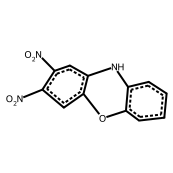 O=[N+]([O-])c1cc2c(cc1[N+](=O)[O-])Oc1ccccc1N2